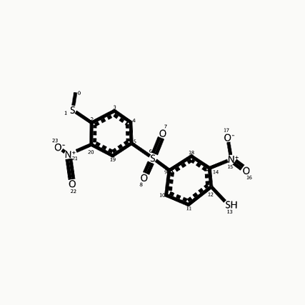 CSc1ccc(S(=O)(=O)c2ccc(S)c([N+](=O)[O-])c2)cc1[N+](=O)[O-]